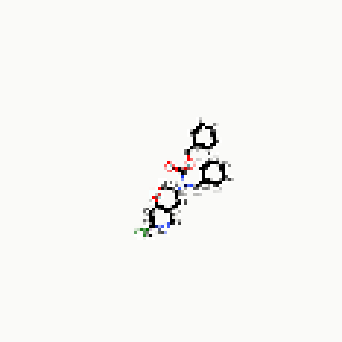 O=C(OCc1ccccc1)N(Cc1ccccc1)[C@H]1COc2cc(Cl)ncc2C1